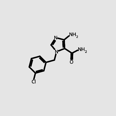 NC(=O)c1c(N)ncn1Cc1cccc(Cl)c1